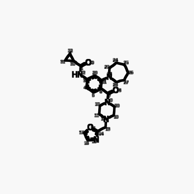 O=C(Nc1ccc(C(=O)N2CCN(Cc3ncco3)CC2)c(N2CCCCCC2)c1)C1CC1